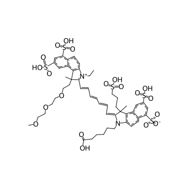 CC[N+]1=C(/C=C/C=C/C=C/C=C2/N(CCCCCC(=O)O)c3ccc4c(S(=O)(=O)[O-])cc(S(=O)(=O)O)cc4c3C2(C)CCCS(=O)(=O)O)C(C)(CCOCCOCCOC)c2c1ccc1c(S(=O)(=O)O)cc(S(=O)(=O)O)cc21